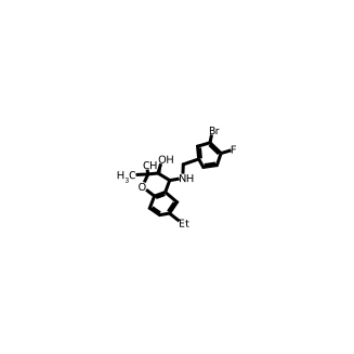 CCc1ccc2c(c1)C(NCc1ccc(F)c(Br)c1)C(O)C(C)(C)O2